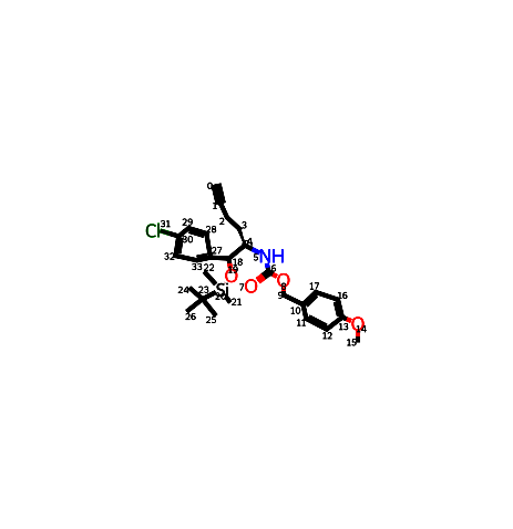 C#CCC[C@@H](NC(=O)OCc1ccc(OC)cc1)C(O[Si](C)(C)C(C)(C)C)c1ccc(Cl)cc1